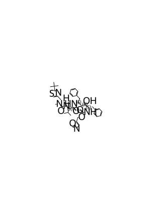 CC(C)[C@H](NC(=O)N(C)Cc1csc(C(C)(C)C)n1)C(=O)N[C@@H](Cc1ccccc1)C[C@H](O)[C@H](Cc1ccccc1)NC(=O)OCc1cnco1